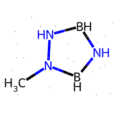 CN1BNBN1